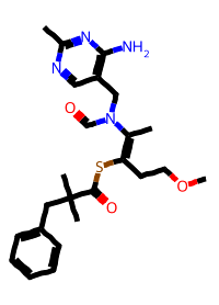 COCC/C(SC(=O)C(C)(C)Cc1ccccc1)=C(\C)N(C=O)Cc1cnc(C)nc1N